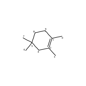 CC1=C(C)CC(C)(C)C[CH]1